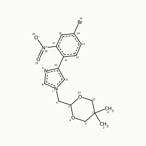 CC1(C)COC(Cn2cnc(-c3ccc(Br)cc3[N+](=O)[O-])c2)OC1